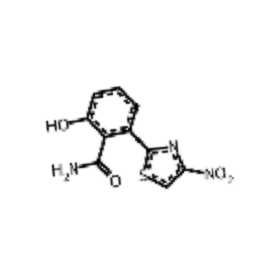 NC(=O)c1c(O)cccc1-c1nc([N+](=O)[O-])cs1